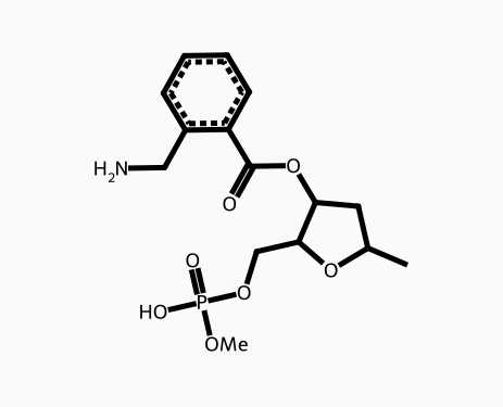 COP(=O)(O)OCC1OC(C)CC1OC(=O)c1ccccc1CN